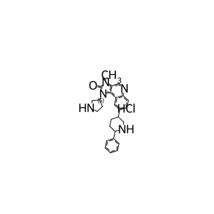 Cl.Cn1c(=O)n([C@H]2CCNC2)c2c3cc(C4CCC(c5ccccc5)NC4)ccc3ncc21